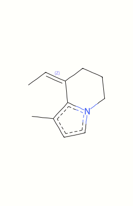 C/C=C1/CCCn2ccc(C)c21